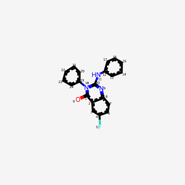 O=c1c2cc(F)ccc2nc(Nc2ccccc2)n1-c1ccccc1